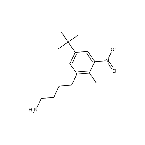 Cc1c(CCCCN)cc(C(C)(C)C)cc1[N+](=O)[O-]